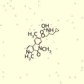 Cc1cc2c3ccnc(C)c3c(=O)n(C)c2cc1OCC(CC1CC1)NC(=O)O